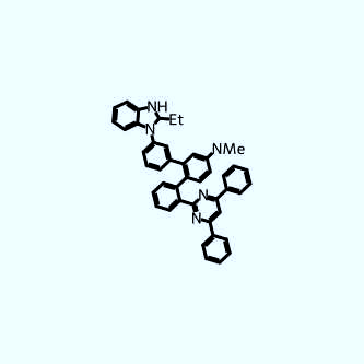 CCC1Nc2ccccc2N1c1cccc(-c2cc(NC)ccc2-c2ccccc2-c2nc(-c3ccccc3)cc(-c3ccccc3)n2)c1